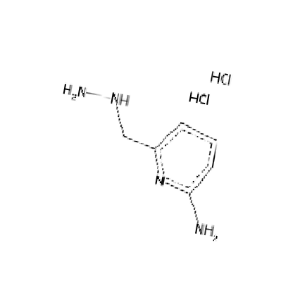 Cl.Cl.NNCc1cccc(N)n1